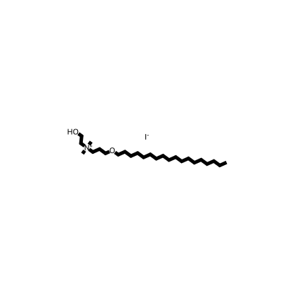 CCCCCCCCCCCCCCCCCCOCCC[N+](C)(C)CCO.[I-]